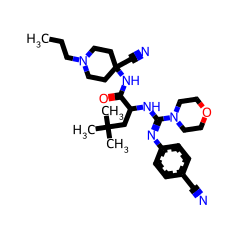 CCCN1CCC(C#N)(NC(=O)C(CC(C)(C)C)NC(=Nc2ccc(C#N)cc2)N2CCOCC2)CC1